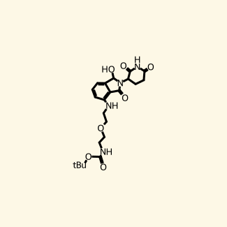 CC(C)(C)OC(=O)NCCOCCNc1cccc2c1C(=O)N(C1CCC(=O)NC1=O)C2O